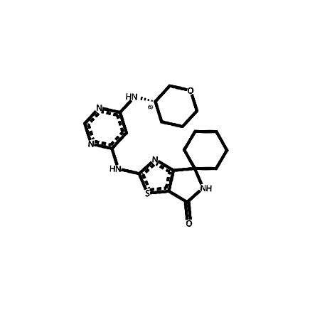 O=C1NC2(CCCCC2)c2nc(Nc3cc(N[C@H]4CCCOC4)ncn3)sc21